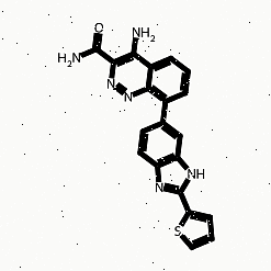 NC(=O)c1nnc2c(-c3ccc4nc(-c5cccs5)[nH]c4c3)cccc2c1N